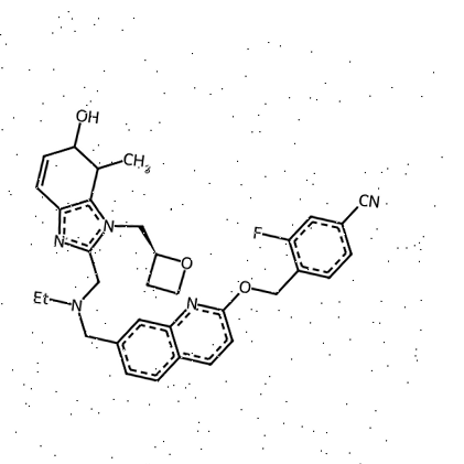 CCN(Cc1ccc2ccc(OCc3ccc(C#N)cc3F)nc2c1)Cc1nc2c(n1C[C@@H]1CCO1)C(C)C(O)C=C2